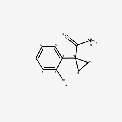 NC(=O)C1(c2ccccc2F)CC1